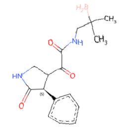 BC(C)(C)CNC(=O)C(=O)C1CNC(=O)[C@@H]1c1ccccc1